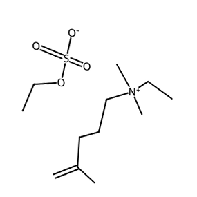 C=C(C)CCC[N+](C)(C)CC.CCOS(=O)(=O)[O-]